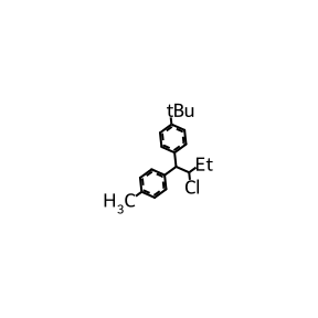 CCC(Cl)C(c1ccc(C)cc1)c1ccc(C(C)(C)C)cc1